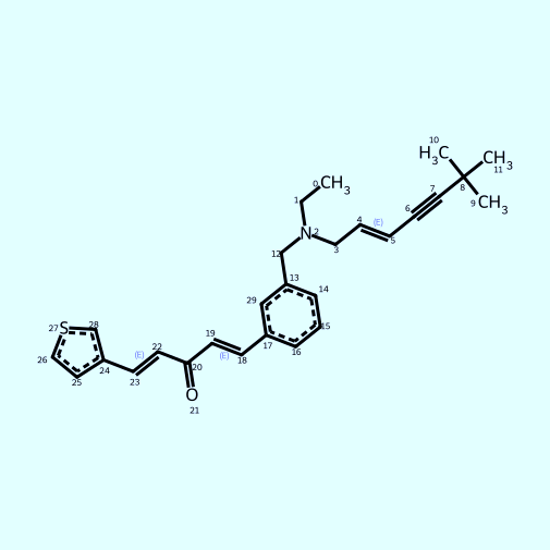 CCN(C/C=C/C#CC(C)(C)C)Cc1cccc(/C=C/C(=O)/C=C/c2ccsc2)c1